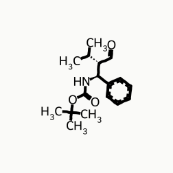 CC(C)[C@H](C=O)[C@H](NC(=O)OC(C)(C)C)c1ccccc1